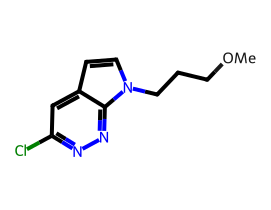 COCCCn1ccc2cc(Cl)nnc21